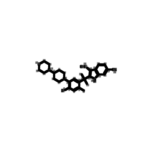 Cc1cc(Br)c(N2CCC(N3CCOCC3)CC2)cc1C(C)(C)c1[nH]c2cc(C#N)ccc2c1C=O